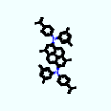 Cc1cc(C)cc(N(c2ccc(C(C)C)cc2)c2cc(C)c3ccc4c(N(c5ccc(C(C)C)cc5)c5cc(C)cc(C)c5)cc(C)c5ccc2c3c54)c1